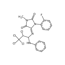 CN1C(=O)C(=NC(Nc2ccccc2)C(Cl)C(Cl)(Cl)Cl)N(c2ccccc2F)C1=O